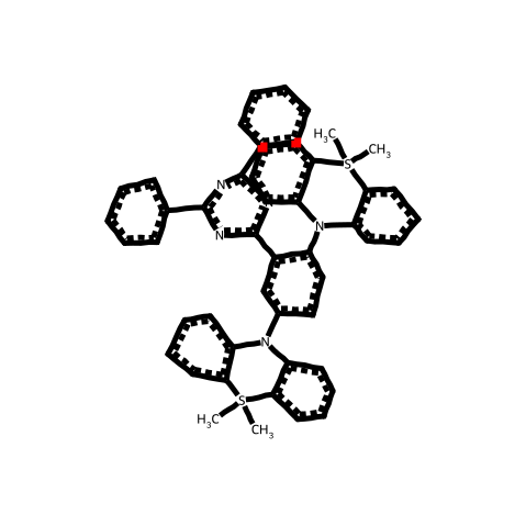 CS1(C)c2ccccc2N(c2ccc(N3c4ccccc4S(C)(C)c4ccccc43)c(-c3nc(-c4ccccc4)nc(-c4ccccc4)n3)c2)c2ccccc21